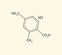 Cc1cc(C(=O)O)ccc1C(=O)O.Cl